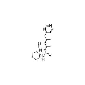 CC(/C=C(\C)Cc1ccncn1)=C1\C(=O)NC2(CCCCC2)N1C=O